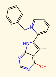 Cc1c(-c2cccc[n+]2Cc2ccccc2)[nH]c2ncnc(O)c12